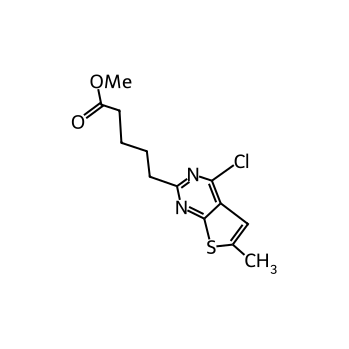 COC(=O)CCCCc1nc(Cl)c2cc(C)sc2n1